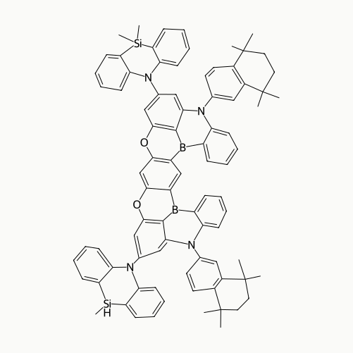 C[SiH]1c2ccccc2N(c2cc3c4c(c2)N(c2ccc5c(c2)C(C)(C)CCC5(C)C)c2ccccc2B4c2cc4c(cc2O3)Oc2cc(N3c5ccccc5[Si](C)(C)c5ccccc53)cc3c2B4c2ccccc2N3c2ccc3c(c2)C(C)(C)CCC3(C)C)c2ccccc21